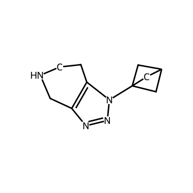 C1Cc2c(nnn2C23CC(C2)C3)CN1